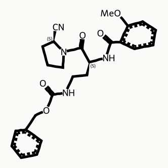 COc1ccccc1C(=O)N[C@@H](CCNC(=O)OCc1ccccc1)C(=O)N1CCC[C@H]1C#N